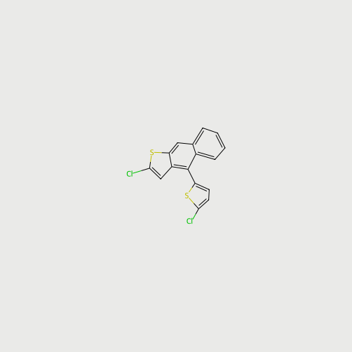 Clc1ccc(-c2c3ccccc3cc3sc(Cl)cc23)s1